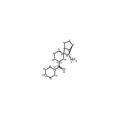 N[C@]12C3CCC(C31)[C@]21CCC[C@H](C(=O)N2CCOCC2)C1